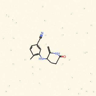 C=C1NC(=O)CCC1Nc1cc(C#N)ccc1C